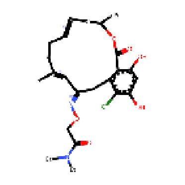 CCCC1C/C=C/CC/C(C)=C/C(=N/OCC(=O)N(CC)CC)Cc2c(Cl)c(O)cc(O)c2C(=O)O1